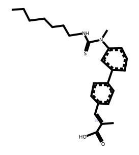 CCCCCCCNC(=S)N(C)c1cccc(-c2ccc(/C=C(\C)C(=O)O)cc2)c1